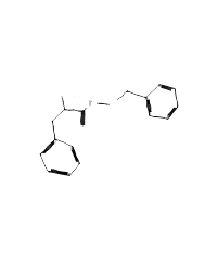 CC(Cc1ccccc1)C(=O)NOCc1ccccc1